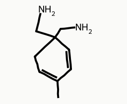 CC1=CCC(CN)(CN)C=C1